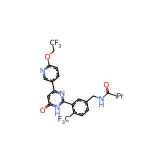 CC(C)C(=O)NCc1ccc(C(F)(F)F)c(-c2nc(-c3ccc(OCC(F)(F)F)nc3)cc(=O)[nH]2)c1